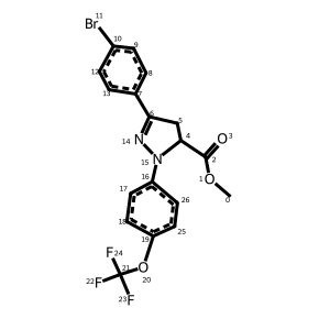 COC(=O)C1CC(c2ccc(Br)cc2)=NN1c1ccc(OC(F)(F)F)cc1